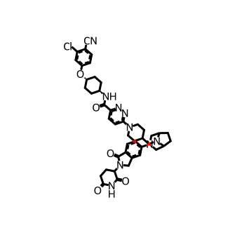 N#Cc1ccc(O[C@H]2CC[C@H](NC(=O)c3ccc(N4CCC(CN5C6CCC5CN(c5ccc7c(c5)CN(C5CCC(=O)NC5=O)C7=O)C6)CC4)nn3)CC2)cc1Cl